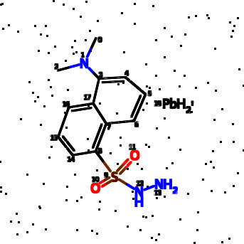 CN(C)c1cccc2c(S(=O)(=O)NN)cccc12.[PbH2]